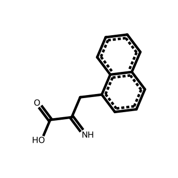 N=C(Cc1cccc2ccccc12)C(=O)O